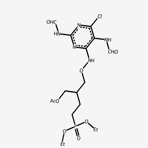 CCOP(=O)(CCC(CONc1nc(NC=O)nc(Cl)c1NC=O)COC(C)=O)OCC